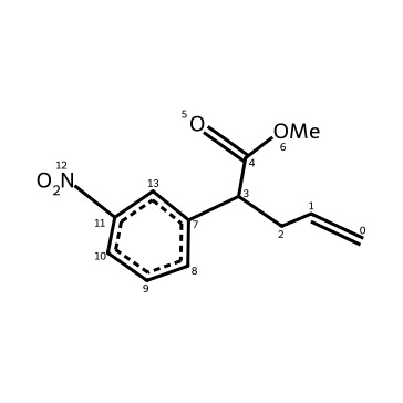 C=CCC(C(=O)OC)c1cccc([N+](=O)[O-])c1